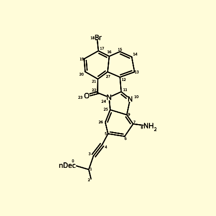 CCCCCCCCCCC(C)C#Cc1cc(N)c2nc3c4cccc5c(Br)ccc(c(=O)n3c2c1)c54